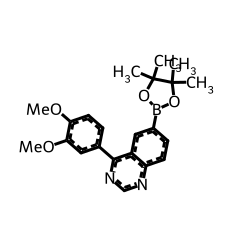 COc1ccc(-c2ncnc3ccc(B4OC(C)(C)C(C)(C)O4)cc23)cc1OC